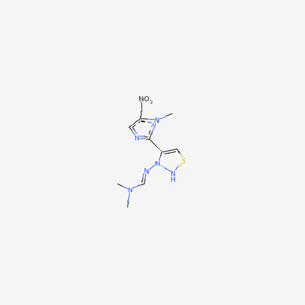 CN(C)C=NN1NSC=C1c1ncc([N+](=O)[O-])n1C